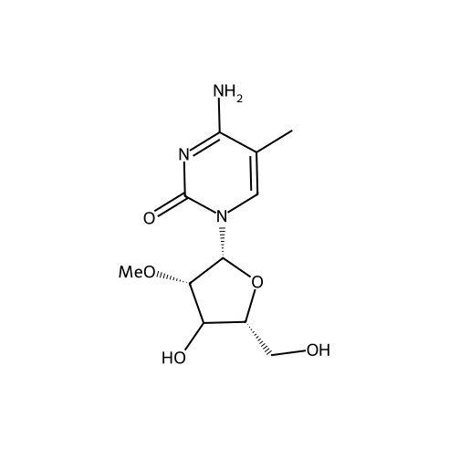 CO[C@H]1C(O)[C@@H](CO)O[C@H]1n1cc(C)c(N)nc1=O